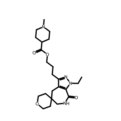 CCn1nc(CCCOC(=O)C2CCN(C)CC2)c2c1C(=O)NCC1(CCOCC1)C2